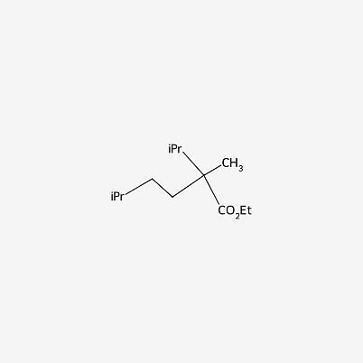 CCOC(=O)C(C)(CCC(C)C)C(C)C